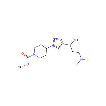 CN(C)CCC(N)c1cnn(C2CCN(C(=O)OC(C)(C)C)CC2)c1